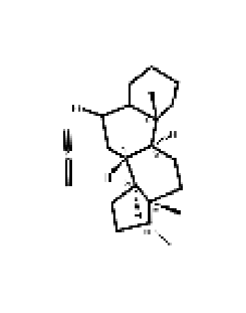 C=C=C.CCC1C[C@H]2[C@@H]3CC[C@@H](C)[C@@]3(C)CC[C@@H]2[C@@]2(C)CCCCC12